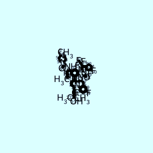 CN1CCN(C(=O)Nc2nn(C)c3c(-c4ccc(C#CC(C)(C)O)nc4C(Cc4cc(F)cc(F)c4)NC(=O)n4nc(C(F)(F)F)c5c4C(F)(F)CC5)cccc23)CC1